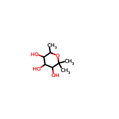 CC1OC(C)(C)C(O)C(O)C1O